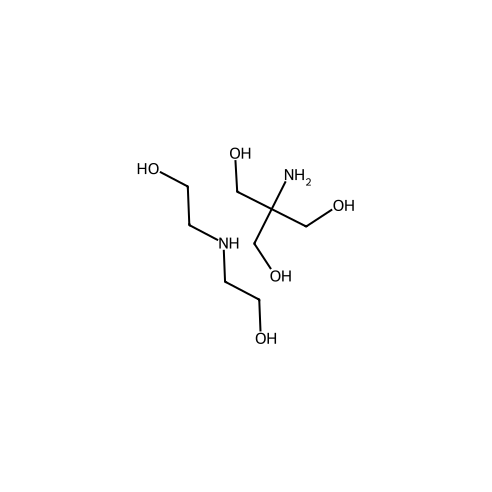 NC(CO)(CO)CO.OCCNCCO